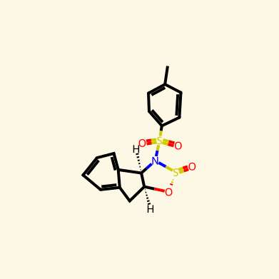 Cc1ccc(S(=O)(=O)N2[C@@H]3c4ccccc4C[C@@H]3O[S@]2=O)cc1